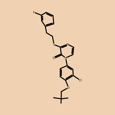 CC(C)(C)COc1ccc(-n2ccnc(SCCc3cccc(F)c3)c2=O)cc1Cl